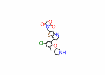 Cc1cc(Cl)cc(-c2ccnc3cc(CN4C(=O)COC4=O)sc23)c1O[C@H]1CCCNC1